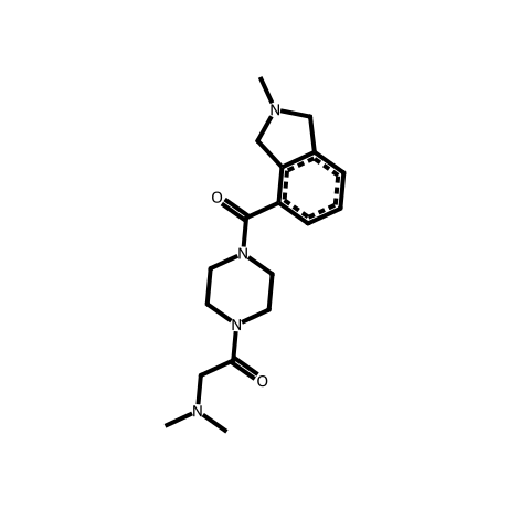 CN(C)CC(=O)N1CCN(C(=O)c2cccc3c2CN(C)C3)CC1